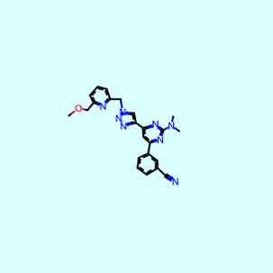 COCc1cccc(Cn2cc(-c3cc(-c4cccc(C#N)c4)nc(N(C)C)n3)nn2)n1